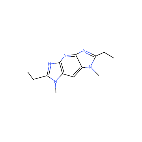 CCc1nc2nc3nc(CC)n(C)c3cc2n1C